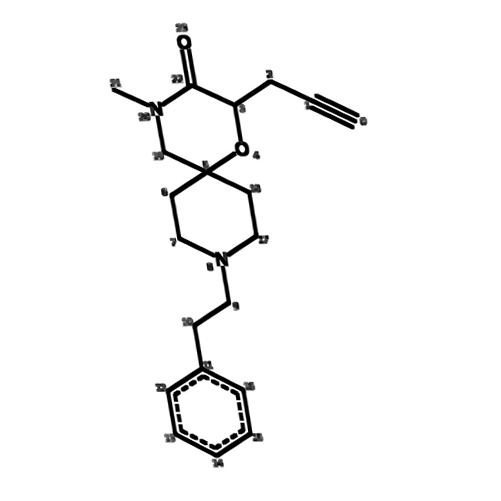 C#CCC1OC2(CCN(CCc3ccccc3)CC2)CN(C)C1=O